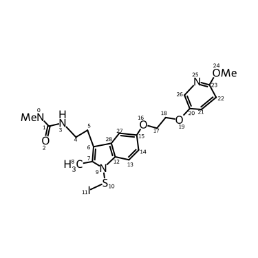 CNC(=O)NCCc1c(C)n(SI)c2ccc(OCCOc3ccc(OC)nc3)cc12